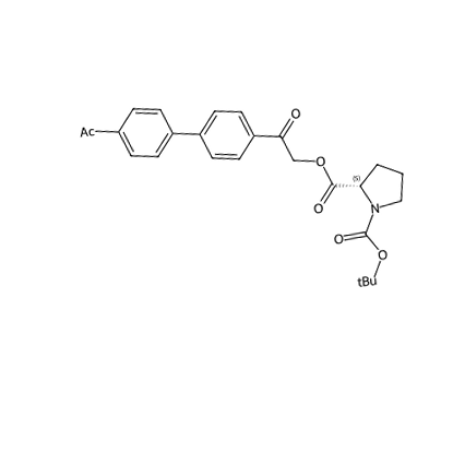 CC(=O)c1ccc(-c2ccc(C(=O)COC(=O)[C@@H]3CCCN3C(=O)OC(C)(C)C)cc2)cc1